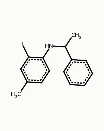 Cc1ccc(NC(C)c2ccccc2)c(I)c1